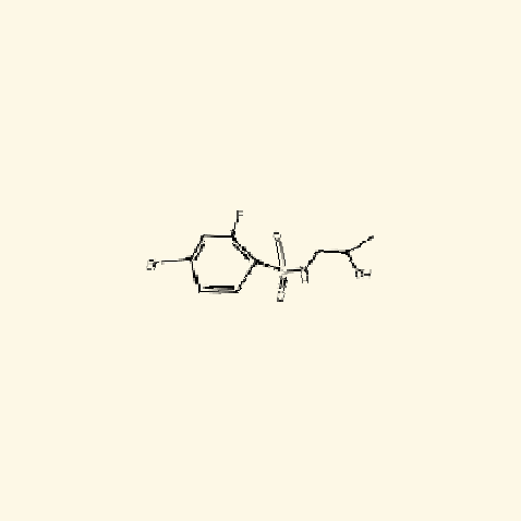 CC(O)CNS(=O)(=O)c1ccc(Br)cc1F